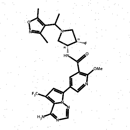 COc1ncc(-c2cc(C(F)(F)F)c3c(N)ncnn23)cc1C(=O)N[C@@H]1CN(C(C)c2c(C)noc2C)C[C@@H]1F